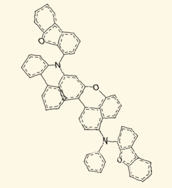 c1ccc(-c2ccccc2N(c2ccc3c(c2)Oc2cccc4c(N(c5ccccc5)c5cccc6c5oc5ccccc56)ccc-3c24)c2cccc3c2oc2ccccc23)cc1